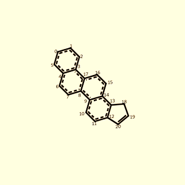 [c]1ccc2c(c1)ccc1c3ccc4c(c3ccc21)CC=C4